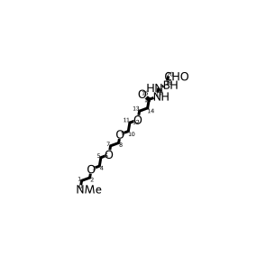 CNCCOCCOCCOCCOCCC(=O)NNBC=O